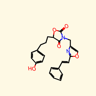 O=C1OC(CCCc2ccc(O)cc2)C(=O)N1Cc1coc(C=Cc2ccccc2)n1